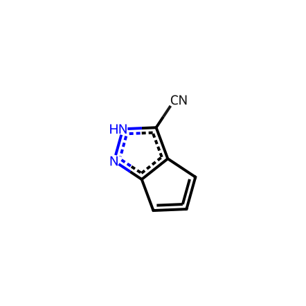 N#Cc1[nH]nc2c1C=C=C2